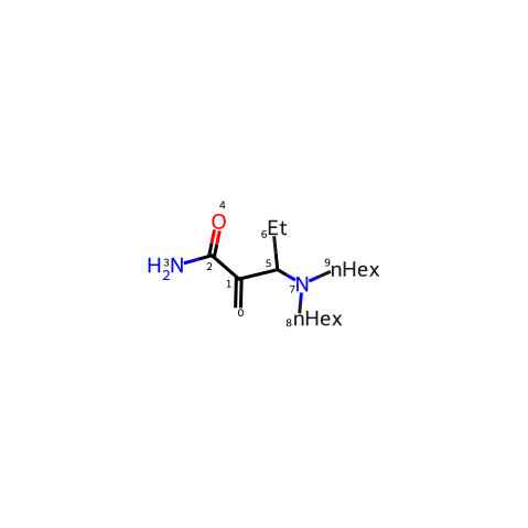 C=C(C(N)=O)C(CC)N(CCCCCC)CCCCCC